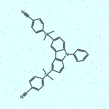 C[Si](C)(c1ccc(C#N)cc1)c1ccc2c(c1)c1cc([Si](C)(C)c3ccc(C#N)cc3)ccc1n2-c1ccccc1